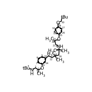 C[C@H](CNC(C)(C)C)Oc1cccc(CCC(C)(C)CC(C)(C)NC[C@H](C)Oc2ccc(OCC(C)(C)C)cn2)c1